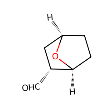 O=C[C@@H]1C[C@H]2CC[C@@H]1O2